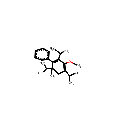 COC1=C(C(C)C)CC(C)(C(C)C)C(c2ccccc2)=C1C(C)C